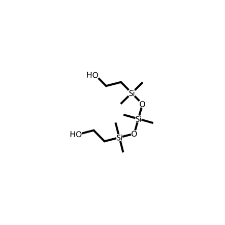 C[Si](C)(CCO)O[Si](C)(C)O[Si](C)(C)CCO